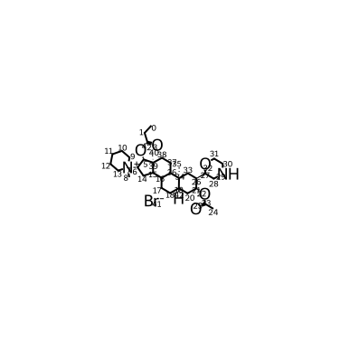 CCC(=O)O[C@H]1[C@@H]([N+]2(C)CCCCC2)CC2C3CC[C@H]4C[C@H](OC(C)=O)[C@H](C5CNCCO5)C[C@]4(C)C3CC[C@@]21C.[Br-]